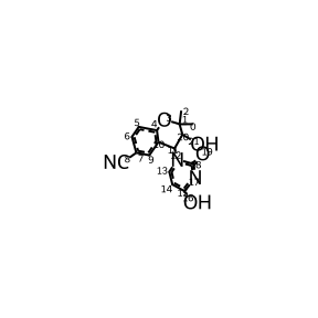 CC1(C)Oc2ccc(C#N)cc2C(n2ccc(O)nc2=O)C1O